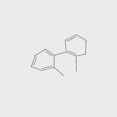 CC1=C(c2ccccc2C)C=CCC1